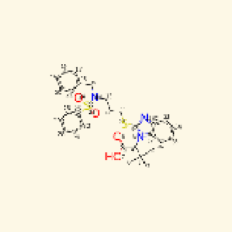 CC(C)(C)C(C(=O)O)n1c(SCCCN(Cc2ccccc2)S(=O)(=O)c2ccccc2)nc2ccccc21